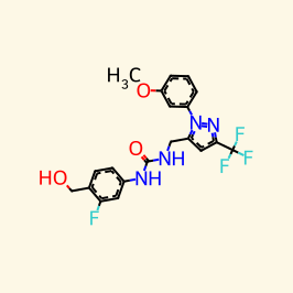 COc1cccc(-n2nc(C(F)(F)F)cc2CNC(=O)Nc2ccc(CO)c(F)c2)c1